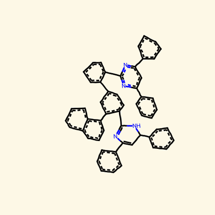 C1=C(c2ccccc2)N=C(c2ccc(-c3ccccc3-c3nc(-c4ccccc4)cc(-c4ccccc4)n3)cc2-c2cccc3ccccc23)NC1c1ccccc1